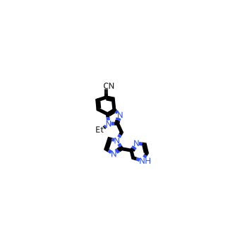 CCn1c(Cn2ccnc2C2=NC=CNC2)nc2cc(C#N)ccc21